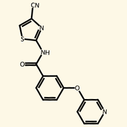 N#Cc1csc(NC(=O)c2cccc(Oc3cccnc3)c2)n1